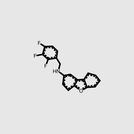 Fc1ccc(CNc2ccc3oc4ccccc4c3c2)c(F)c1F